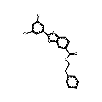 O=C(OCCc1ccccc1)c1ccc2nc(-c3cc(Cl)cc(Cl)c3)oc2c1